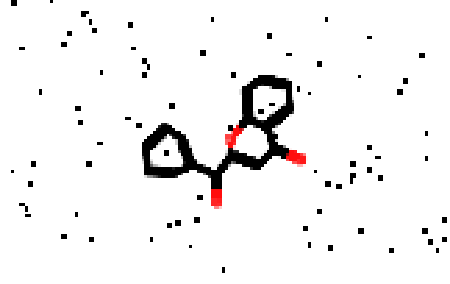 O=C(c1ccccc1)c1cc(=O)c2ccccc2o1